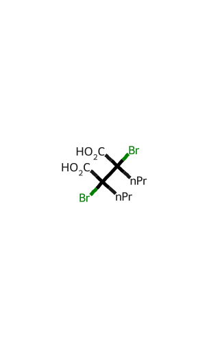 CCCC(Br)(C(=O)O)C(Br)(CCC)C(=O)O